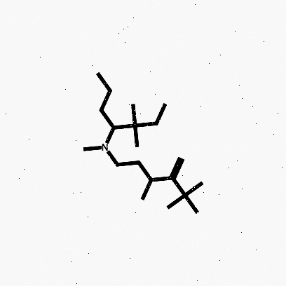 C=C(C(C)CCN(C)C(CCC)C(C)(C)CC)C(C)(C)C